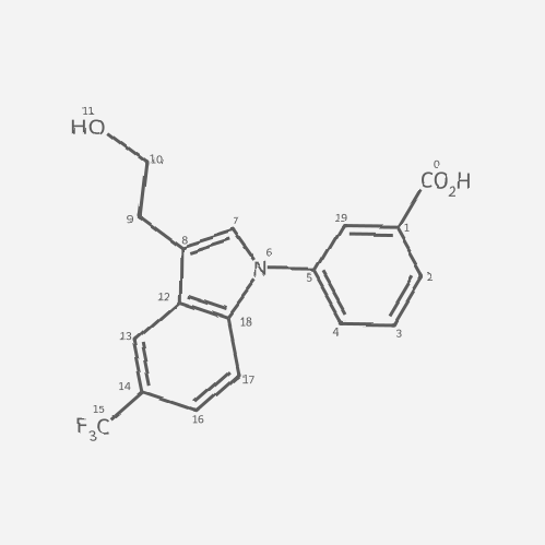 O=C(O)c1cccc(-n2cc(CCO)c3cc(C(F)(F)F)ccc32)c1